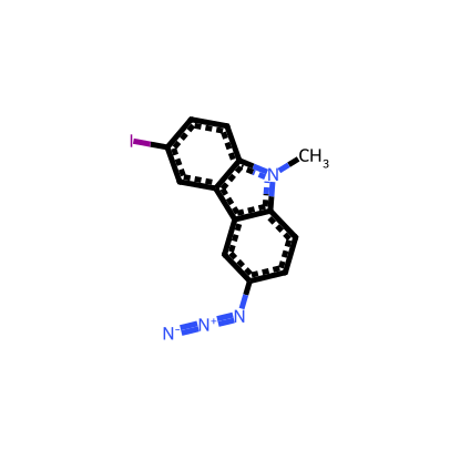 Cn1c2ccc(I)cc2c2cc(N=[N+]=[N-])ccc21